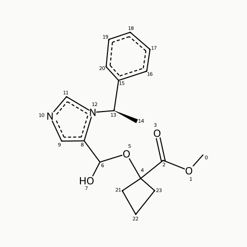 COC(=O)C1(OC(O)c2cncn2[C@H](C)c2ccccc2)CCC1